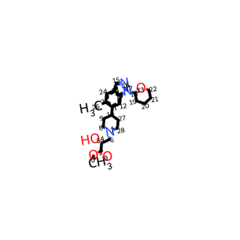 COC(=O)C(O)CN1CCC(c2cc3c(cnn3C3CCCCO3)cc2C)CC1